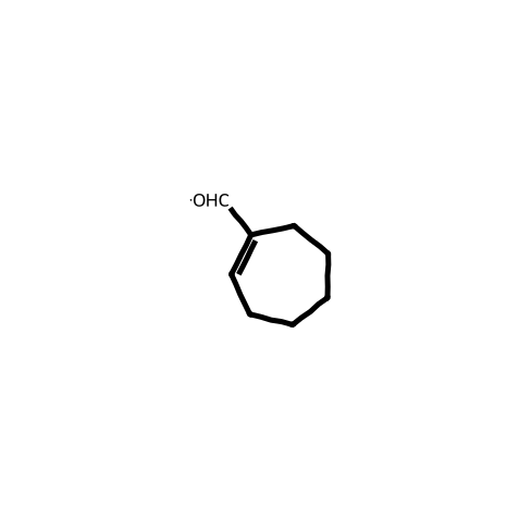 O=[C]C1=CCCCCC1